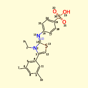 CCn1c(-c2cc(C)cc(C)c2)cs/c1=N\c1ccc(S(=O)(=O)O)cc1